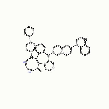 C=C1/C=C\C=C/N(c2ccc(-c3ccccc3)cc2)C2=C1c1ccccc1N(c1ccc3cc(-c4ccnc5ccccc45)ccc3c1)c1ccccc12